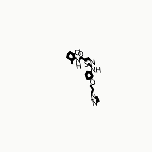 Cc1cccc(Cl)c1NC(=O)c1cnc(Nc2cccc(OCCCn3ccnc3)c2)s1